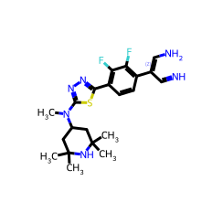 CN(c1nnc(-c2ccc(/C(C=N)=C/N)c(F)c2F)s1)C1CC(C)(C)NC(C)(C)C1